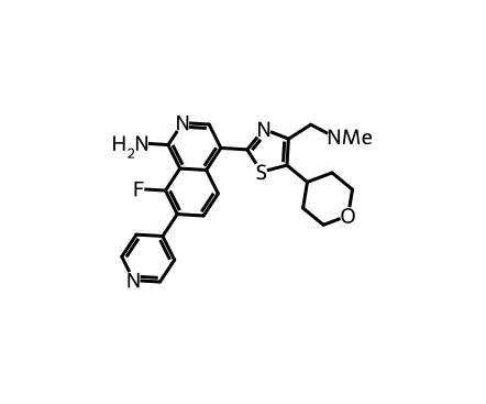 CNCc1nc(-c2cnc(N)c3c(F)c(-c4ccncc4)ccc23)sc1C1CCOCC1